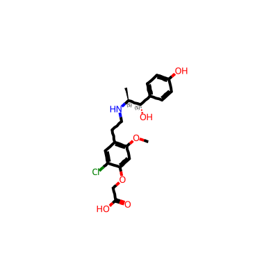 COc1cc(OCC(=O)O)c(Cl)cc1CCN[C@@H](C)[C@@H](O)c1ccc(O)cc1